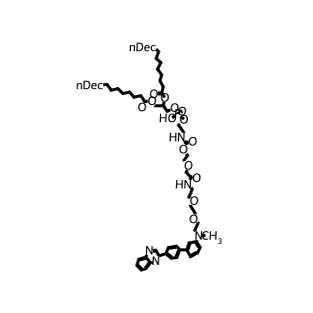 CCCCCCCCCCCCCCCCCC(=O)OCC(COP(=O)(O)OCCNC(=O)OCCOCC(=O)NCCOCCOCCN(C)c1cccc(-c2ccc(-c3cnc4ccccc4n3)cc2)c1)OC(=O)CCCCCCCCCCCCCCCCC